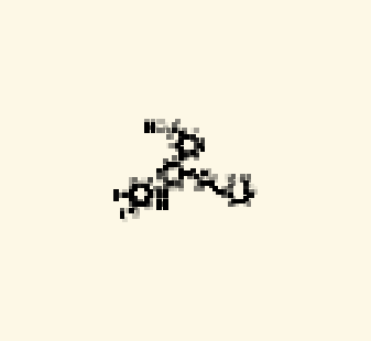 O=C(O)c1cncc(-c2cnc(Nc3ccc(F)c(Cl)c3)nc2NCCCN2CCOCC2)c1